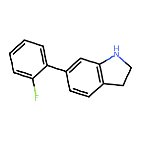 Fc1ccccc1-c1ccc2c(c1)NCC2